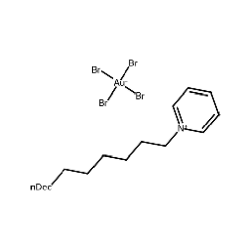 CCCCCCCCCCCCCCCC[n+]1ccccc1.[Br][Au-]([Br])([Br])[Br]